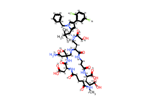 CNC(=O)CCCC(=O)N[C@@H](CC(=O)O)C(=O)NC(C=O)(CN[C@@H](CCN(C(=O)CO)[C@@H](c1cc(-c2cc(F)ccc2F)cn1Cc1ccccc1)C(C)(C)C)C(=O)NCCC(=O)N[C@H](CCC(=O)O)C(=O)O)CC(N)=O